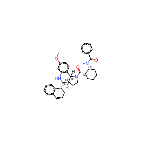 COc1ccc2c(c1)N[C@@H](C1CC=Cc3ccccc31)[C@H]1CCN(C(=O)[C@H]3CCCC[C@H]3NC(=O)c3ccccc3)[C@@H]21